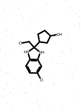 OC1CCC(C2(CCl)Nc3ccc(Cl)cc3N2)C1